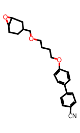 N#Cc1ccc(-c2ccc(OCCCCOCC3CCC4OC4C3)cc2)cc1